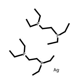 CCP(CC)CCP(CC)CC.CCP(CC)CCP(CC)CC.[Ag]